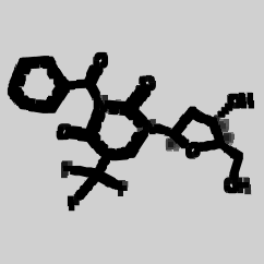 O=C(c1ccccc1)n1c(=O)c(C(F)(F)F)cn([C@H]2C[C@H](O)[C@@H](CO)O2)c1=O